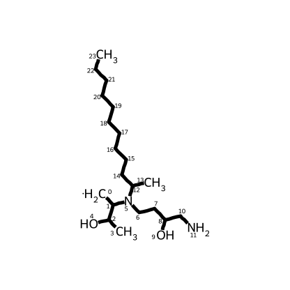 [CH2]C(C(C)O)N(CCC(O)CN)C(C)CCCCCCCCCC